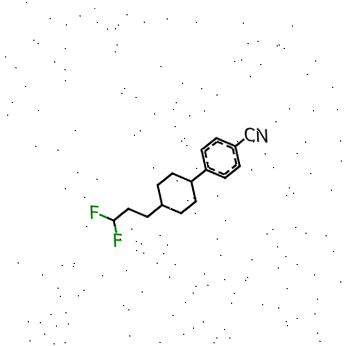 N#Cc1ccc(C2CCC(CCC(F)F)CC2)cc1